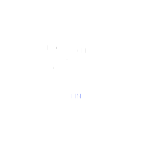 CC(C)(C)C1=CCCNC1